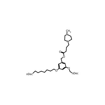 CCCCCCCCCCCCCCCCCOc1cc(COC(=O)CCCN2CCN(C)CC2)cc(OCCCCCCCCCCC)c1